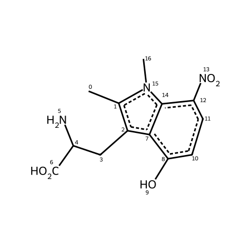 Cc1c(CC(N)C(=O)O)c2c(O)ccc([N+](=O)[O-])c2n1C